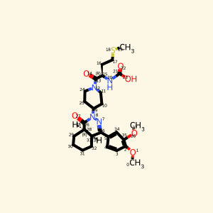 COc1ccc(C2=NN(C3CCN(C(=O)[C@@H](CCSC)NC(=O)O)CC3)C(=O)[C@@H]3CCCC[C@H]23)cc1OC